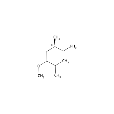 COC(C[C@@H](C)CP)C(C)C